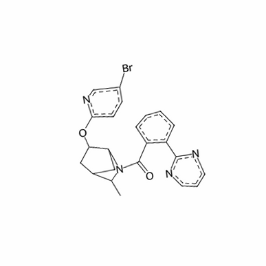 CC1C2CC(Oc3ccc(Br)cn3)C(C2)N1C(=O)c1ccccc1-c1ncccn1